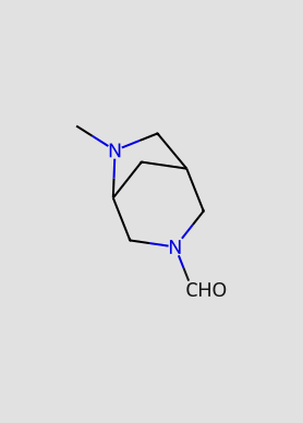 CN1CC2CC1CN(C=O)C2